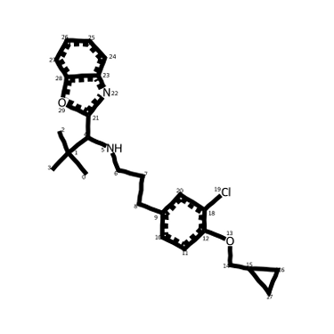 CC(C)(C)C(NCCCc1ccc(OCC2CC2)c(Cl)c1)c1nc2ccccc2o1